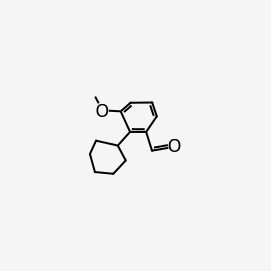 COc1cccc(C=O)c1C1CCCCC1